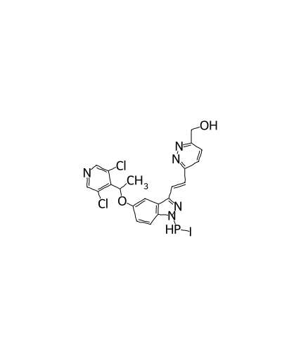 CC(Oc1ccc2c(c1)c(/C=C/c1ccc(CO)nn1)nn2PI)c1c(Cl)cncc1Cl